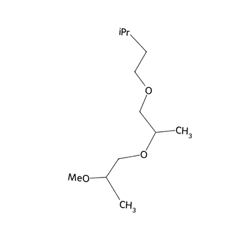 COC(C)COC(C)COCCC(C)C